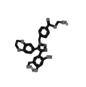 CCOC(=O)c1ccc(Cn2nnc(-c3cc(CC)c(O)cc3O)c2-c2ccc3c(c2)OCCO3)cc1